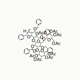 CC(=O)OCC1O[C@H](OCC2O[C@@H](O[C@@H]3C(COCc4ccccc4)O[C@@H](OCc4ccccc4)C(C)[C@@H]3OCc3ccccc3)C(OC(=O)c3ccccc3)[C@@H](O[C@H]3O[C@@H](COC(C)=O)[C@@H](OC(C)=O)C(OC(C)=O)C3OC(C)=O)[C@@H]2OCc2ccccc2)C(OC(C)=O)[C@@H](OC(C)=O)[C@@H]1OC(C)=O